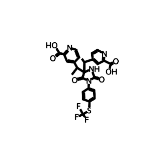 CC(c1ccnc(C(=O)O)c1)C1(C(C)c2ccnc(C(=O)O)c2)NC(=O)N(c2ccc(SC(F)(F)F)cc2)C1=O